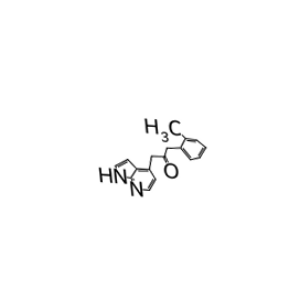 Cc1ccccc1CC(=O)Cc1ccnc2[nH]ccc12